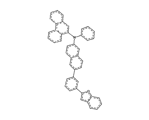 c1ccc(N(c2ccc3cc(-c4cccc(-c5cc6ccccc6o5)c4)ccc3c2)c2cc3ccccc3c3ccccc23)cc1